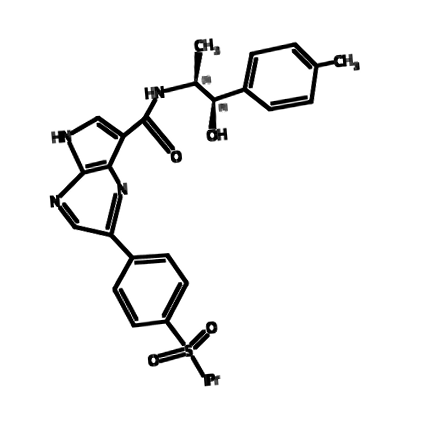 Cc1ccc([C@@H](O)[C@H](C)NC(=O)c2c[nH]c3ncc(-c4ccc(S(=O)(=O)C(C)C)cc4)nc23)cc1